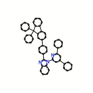 c1ccc(-c2cc(-c3ccccc3)nc(-n3c(-c4ccc(-c5ccc6c(c5)C(c5ccccc5)(c5ccccc5)c5ccccc5-6)cc4)nc4ccccc43)c2)cc1